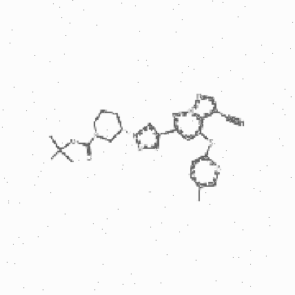 Cc1ccc(Sc2cc(-c3cnn([C@H]4CCCN(C(=O)OC(C)(C)C)C4)c3)cn3ncc(C#N)c23)nc1